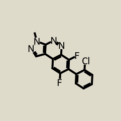 Cn1ncc2c3cc(F)c(-c4ccccc4Cl)c(F)c3nnc21